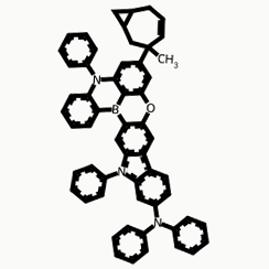 CC1(c2cc3c4c(c2)N(c2ccccc2)c2ccccc2B4c2cc4c(cc2O3)c2ccc(N(c3ccccc3)c3ccccc3)cc2n4-c2ccccc2)C=CCC2CC2C1